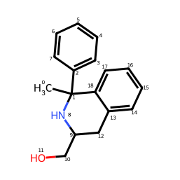 CC1(c2ccccc2)NC(CO)Cc2ccccc21